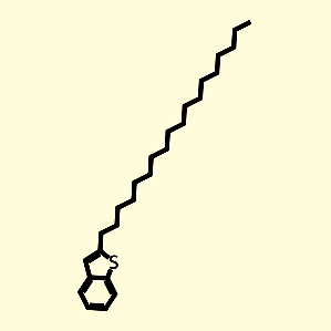 CCCCCCCCCCCCCCCCCCc1cc2ccccc2s1